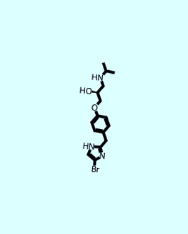 CC(C)NC[C@H](O)COc1ccc(Cc2nc(Br)c[nH]2)cc1